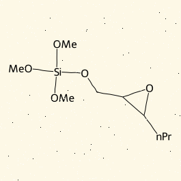 CCCC1OC1CO[Si](OC)(OC)OC